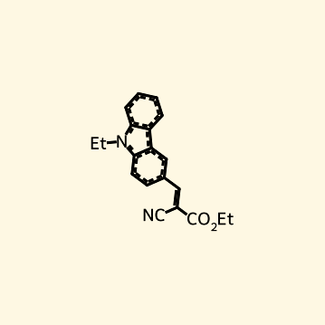 CCOC(=O)C(C#N)=Cc1ccc2c(c1)c1ccccc1n2CC